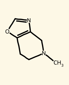 CN1CCc2ocnc2C1